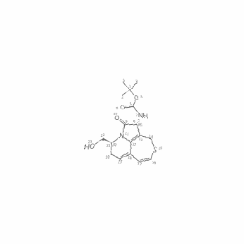 CC(C)(C)OC(=O)N[C@H]1C(=O)N2C3=C1CSC=CC3=CC[C@H]2CO